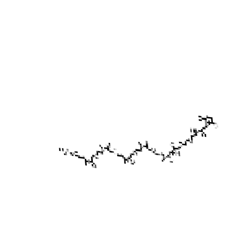 CN(CCOCC(=O)N(C)CCOCC(=O)N(C)CCOCC(=O)N(C)CCOCC(=O)N(C)CCOCC(=O)O)C(=O)CNC(=O)COCCOCCNC(=O)CCN1C(=O)C=CC1=O